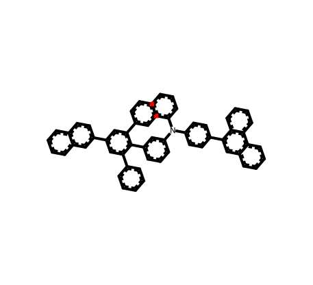 c1ccc(-c2cc(-c3ccc4ccccc4c3)cc(-c3ccccc3)c2-c2cccc(N(c3ccccc3)c3ccc(-c4cc5ccccc5c5ccccc45)cc3)c2)cc1